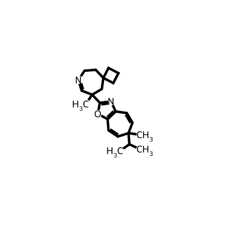 CC(C)C1(C)C=Cc2nc(C3(C)C=NCCC4(CCC4)C3)oc2C=C1